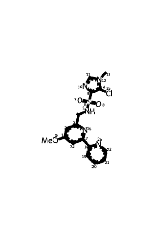 COc1cc(CNS(=O)(=O)c2ncn(C)c2Cl)nc(-c2ccccn2)c1